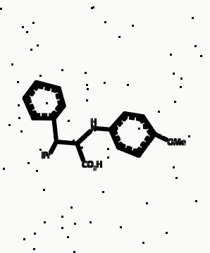 COc1ccc(NC(C(=O)O)C(c2ccccc2)C(C)C)cc1